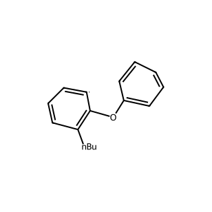 CCCCc1ccc[c]c1Oc1ccccc1